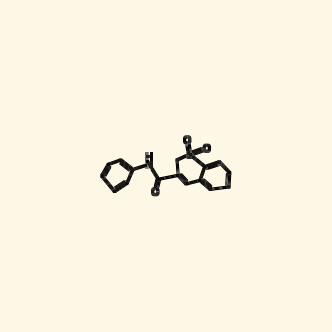 O=C(Nc1ccccc1)C1=Cc2ccccc2S(=O)(=O)C1